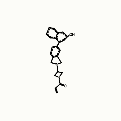 C=CC(=O)N1CC(N2Cc3ccc(-c4cc(O)cc5ccccc45)cc3C2)C1